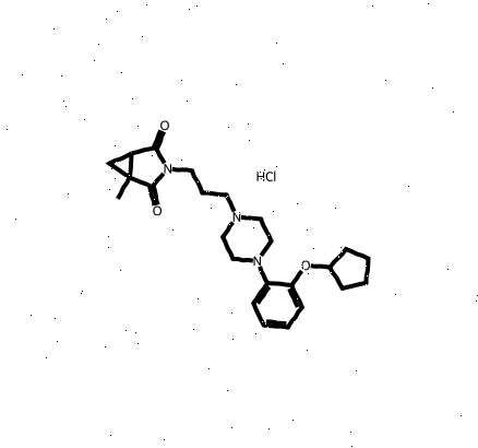 CC12CC1C(=O)N(CCCN1CCN(c3ccccc3OC3CCCC3)CC1)C2=O.Cl